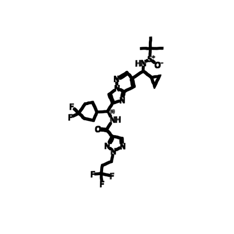 CC(C)(C)[S+]([O-])NC(c1cnn2cc([C@@H](NC(=O)c3cnn(CCC(F)(F)F)n3)C3CCC(F)(F)CC3)nc2c1)C1CC1